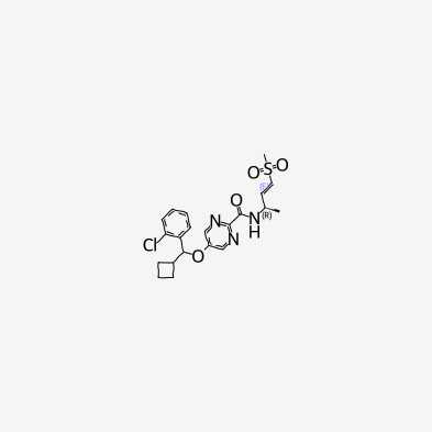 C[C@H](/C=C/S(C)(=O)=O)NC(=O)c1ncc(OC(c2ccccc2Cl)C2CCC2)cn1